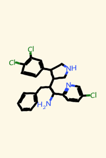 NC(c1ccc(Cl)cn1)C(Cc1ccccc1)C1CNCC1c1ccc(Cl)c(Cl)c1